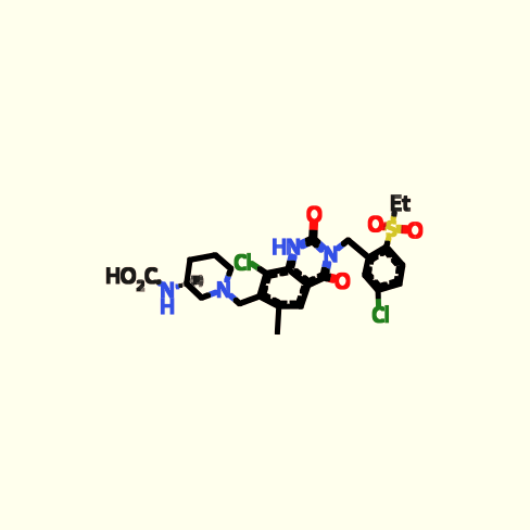 CCS(=O)(=O)c1ccc(Cl)cc1Cn1c(=O)[nH]c2c(Cl)c(CN3CCC[C@@H](NC(=O)O)C3)c(C)cc2c1=O